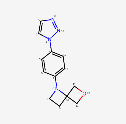 c1cn(-c2ccc(N3CCC34COC4)cc2)nn1